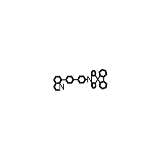 c1ccc2c(c1)-c1ccccc1C21c2ccccc2N(c2ccc(-c3ccc(-c4cccc5cccnc45)cc3)cc2)c2ccccc21